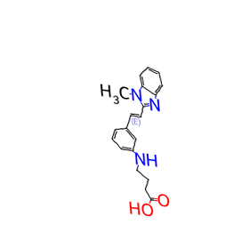 Cn1c(/C=C/c2cccc(NCCCC(=O)O)c2)nc2ccccc21